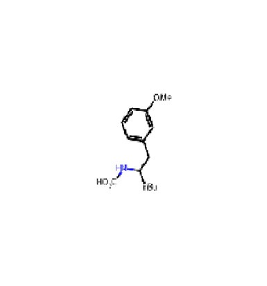 CCCCC(Cc1cccc(OC)c1)NC(=O)O